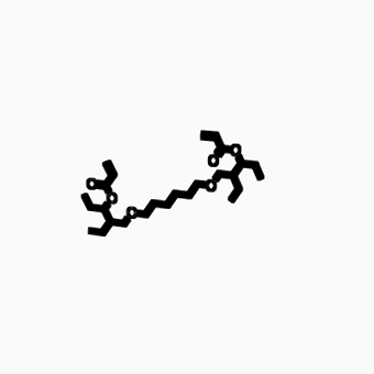 C=CC(=O)OC(CC)C(CC)COCCCCCCOCC(CC)C(CC)OC(=O)C=C